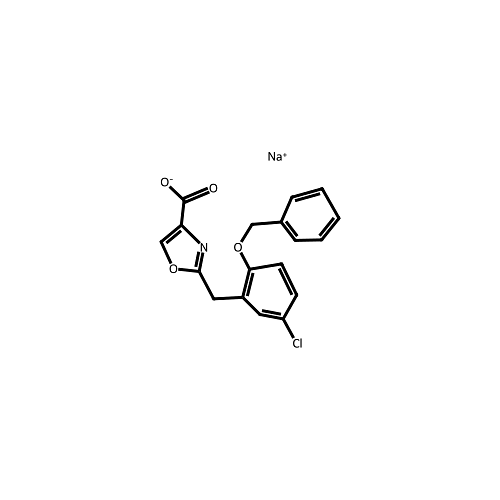 O=C([O-])c1coc(Cc2cc(Cl)ccc2OCc2ccccc2)n1.[Na+]